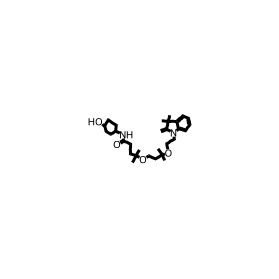 C=C1N(CCOC(C)(C)CCOC(C)(C)CCC(=O)NC2CCC(O)CC2)c2ccccc2C1(C)C